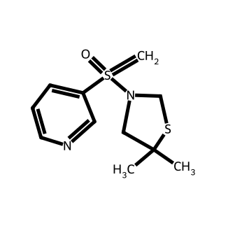 C=S(=O)(c1cccnc1)N1CSC(C)(C)C1